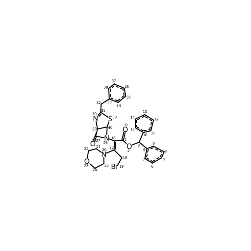 O=C(OC(c1ccccc1)c1ccccc1)C(=C(CBr)N1CCOCC1)N1C(=O)C2N=C(Cc3ccccc3)SC21